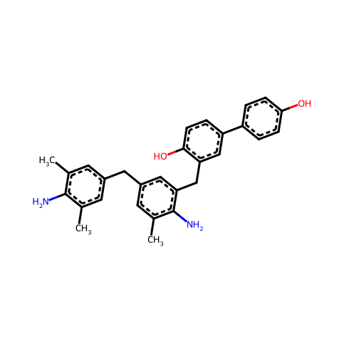 Cc1cc(Cc2cc(C)c(N)c(Cc3cc(-c4ccc(O)cc4)ccc3O)c2)cc(C)c1N